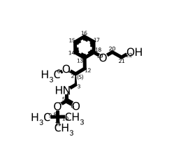 CO[C@H](CNC(=O)OC(C)(C)C)Cc1ccccc1OCCO